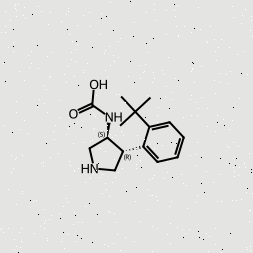 CC(C)(C)c1ccccc1[C@@H]1CNC[C@H]1NC(=O)O